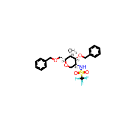 C[C@@H]1[C@H](OCc2ccccc2)[C@H](NS(=O)(=O)C(F)(F)F)CO[C@@H]1COCc1ccccc1